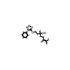 CC(O)(CCSc1nnnn1-c1ccccc1)CCC(F)=C(F)F